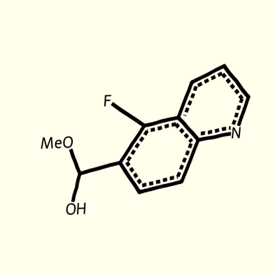 COC(O)c1ccc2ncccc2c1F